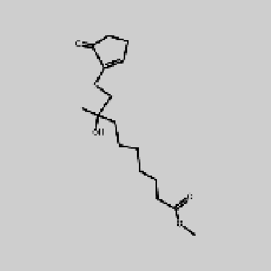 COC(=O)CCCCCCC(C)(O)CSC1=CCCC1=O